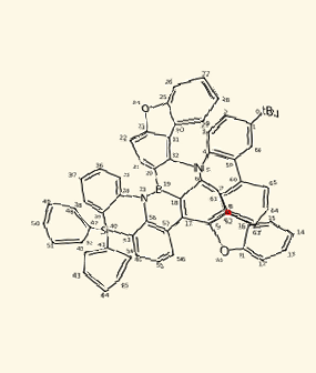 CC(C)(C)c1ccc(N2c3cc4c(oc5ccccc54)c4c3B(c3ccc5oc6ccccc6c5c32)N2c3ccccc3[Si](c3ccccc3)(c3ccccc3)c3cccc-4c32)c(-c2ccccc2)c1